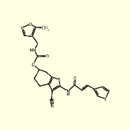 Cc1oncc1CNC(=O)OC1CCc2c(sc(NC(=O)C=Cc3ccsc3)c2C#N)C1